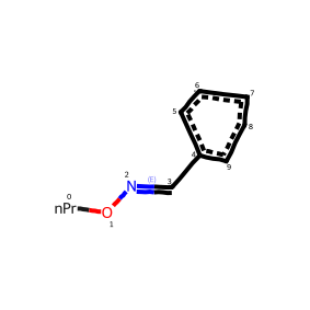 CCCO/N=C/c1c[c]ccc1